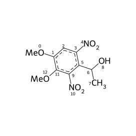 COc1cc([N+](=O)[O-])c(C(C)O)c([N+](=O)[O-])c1OC